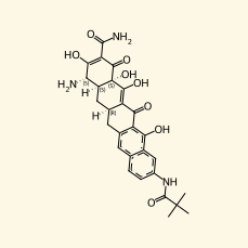 CC(C)(C)C(=O)Nc1ccc2cc3c(c(O)c2c1)C(=O)C1=C(O)[C@]2(O)C(=O)C(C(N)=O)=C(O)[C@@H](N)[C@@H]2C[C@@H]1C3